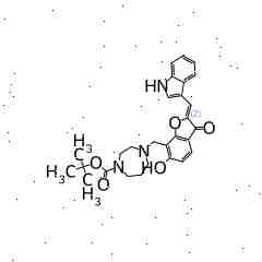 CC(C)(C)OC(=O)N1CCCN(Cc2c(O)ccc3c2O/C(=C\c2c[nH]c4ccccc24)C3=O)CC1